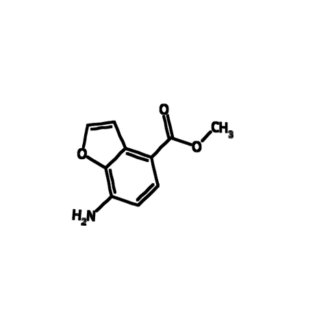 COC(=O)c1ccc(N)c2occc12